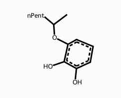 CCCCCC(C)Oc1cccc(O)c1O